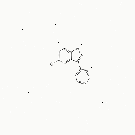 Clc1ccc2o[c]c(-c3ccccc3)c2c1